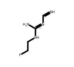 N=C/N=C(\N)NCCF